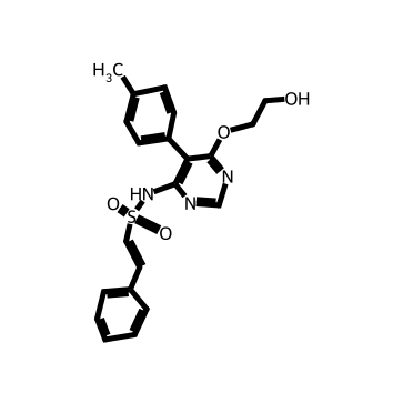 Cc1ccc(-c2c(NS(=O)(=O)C=Cc3ccccc3)ncnc2OCCO)cc1